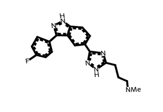 CNCCCc1nc(-c2ccc3[nH]nc(-c4ccc(F)cc4)c3c2)n[nH]1